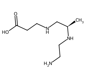 C[C@H](CNCCC(=O)O)NCCN